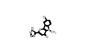 Cn1c2ccc(Cl)cc2c2oc(-c3nnn[nH]3)cc(=O)c21